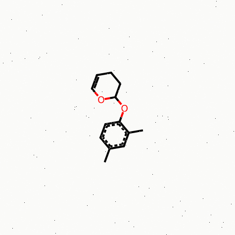 Cc1ccc(OC2CCC=CO2)c(C)c1